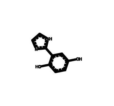 Oc1ccc(O)c(-c2ncc[nH]2)c1